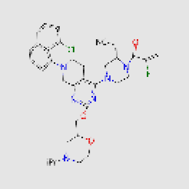 C=C(F)C(=O)N1CCN(c2nc(OCC3CN(C(C)C)CCO3)nc3c2CCN(c2cccc4cccc(Cl)c24)C3)C[C@@H]1CC#N